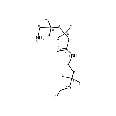 CCOC(C)(C)CCNC(=O)CC(C)(C)CC(C)(C)CN